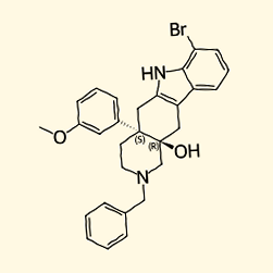 COc1cccc([C@@]23CCN(Cc4ccccc4)C[C@@]2(O)Cc2c([nH]c4c(Br)cccc24)C3)c1